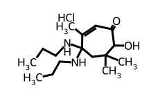 CCCNC1(NCCC)CC(C)(C)C(O)C(=O)C=C1C.Cl